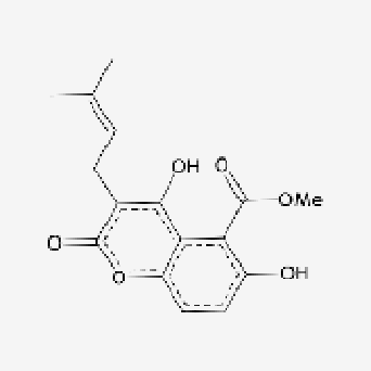 COC(=O)c1c(O)ccc2oc(=O)c(CC=C(C)C)c(O)c12